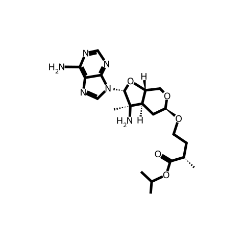 CC(C)OC(=O)[C@@H](C)CCO[C@H]1C[C@@H]2[C@@H](CO1)O[C@@H](n1cnc3c(N)ncnc31)[C@]2(C)N